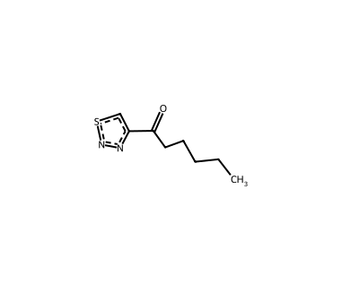 CCCCCC(=O)c1csnn1